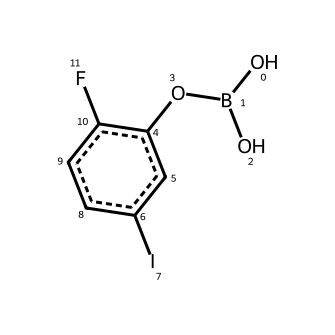 OB(O)Oc1cc(I)ccc1F